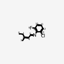 CCC(C)=CC=Nc1c(F)cccc1Cl